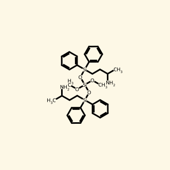 CO[Si](OC)(O[Si](CCC(C)N)(c1ccccc1)c1ccccc1)O[Si](CCC(C)N)(c1ccccc1)c1ccccc1